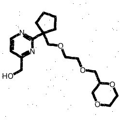 OCc1ccnc(C2(COCCOCC3COCCO3)CCCC2)n1